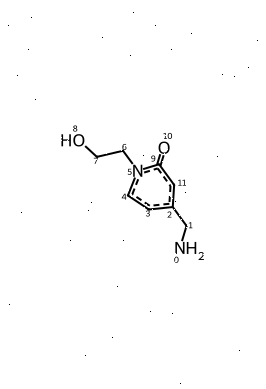 NCc1ccn(CCO)c(=O)c1